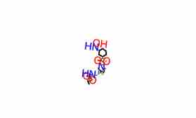 C=CS(=O)(=O)NC[C@H]1CCN(S(=O)(=O)c2cccc(NO)c2)C1